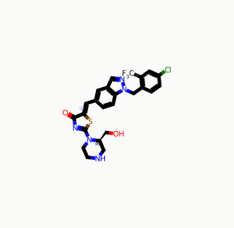 O=C1N=C(N2CCNC[C@@H]2CO)S/C1=C\c1ccc2c(cnn2Cc2ccc(Cl)cc2C(F)(F)F)c1